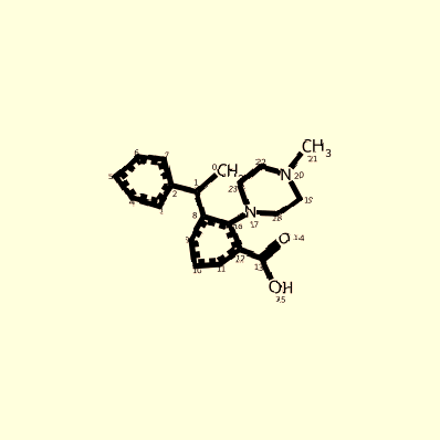 CC(c1ccccc1)c1cccc(C(=O)O)c1N1CCN(C)CC1